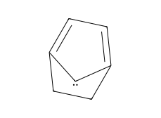 [C]1C2=CC=C1CC2